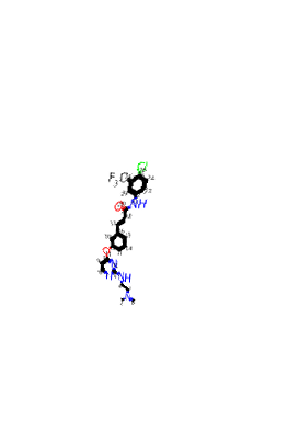 CN(C)CCNc1nccc(Oc2cccc(C=CC(=O)Nc3ccc(Cl)c(C(F)(F)F)c3)c2)n1